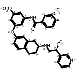 Cl.Cl.O=C(O)c1cc(NC(=O)c2ccccc2)cc(Oc2ccc3c(c2)C[C@@H](NC[C@@H](O)c2cccnc2)CC3)c1